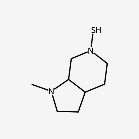 CN1CCC2CCN(S)CC21